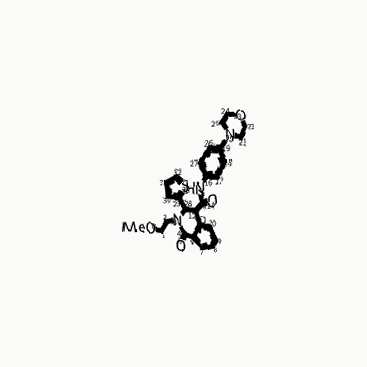 COCCN1C(=O)c2ccccc2C(C(=O)Nc2ccc(N3CCOCC3)cc2)C1c1cccs1